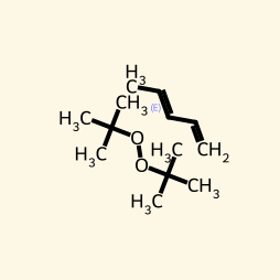 C=C/C=C/C.CC(C)(C)OOC(C)(C)C